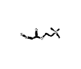 C[Si](C)(C)CCOC(=O)C=[N+]=[N-]